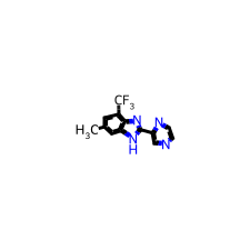 Cc1cc(C(F)(F)F)c2nc(-c3cnccn3)[nH]c2c1